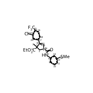 CCOC(=O)C1(C)CN(C(=O)Nc2cccc(SC)c2)N=C1c1ccc(C(F)(F)F)c(Cl)c1